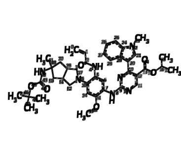 C=CC(=O)Nc1cc(Nc2ncc(C(=O)OC(C)C)c(-c3cn(C)c4ccccc34)n2)c(OC)cc1N1CC2CC(C)(NC(=O)OC(C)(C)C)CC2C1